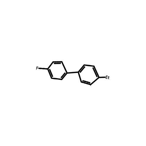 CCc1[c]cc(-c2ccc(F)cc2)cc1